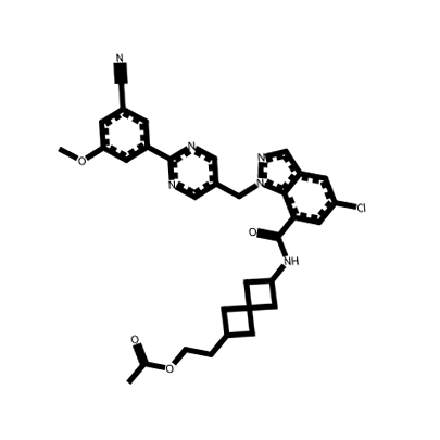 COc1cc(C#N)cc(-c2ncc(Cn3ncc4cc(Cl)cc(C(=O)NC5CC6(CC(CCOC(C)=O)C6)C5)c43)cn2)c1